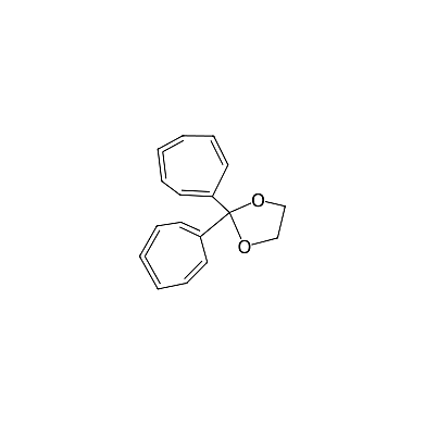 C1=CC=CC(C2(C3=CC=C=CC=C3)OCCO2)=CC=1